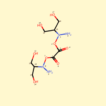 NN(OC(=O)C(=O)ON(N)C(CO)CO)C(CO)CO